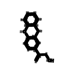 C=C(CO)c1ccc2c(c1)Cc1ccccc1O2